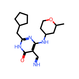 CC1CC(Nc2nc(CC3CCCC3)[nH]c(=O)c2C=N)CCO1